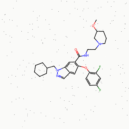 COC1CCCN(CCNC(=O)c2cc3c(cnn3CC3CCCCC3)cc2Oc2ccc(F)cc2F)C1